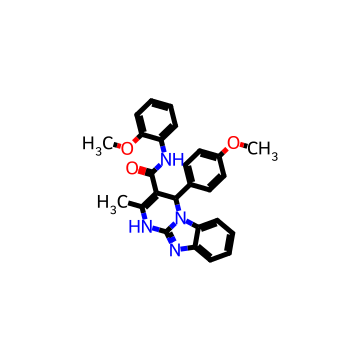 COc1ccc(C2C(C(=O)Nc3ccccc3OC)=C(C)Nc3nc4ccccc4n32)cc1